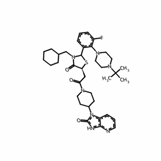 CC(C)(C)N1CCN(c2c(F)cccc2C2S[C@@H](CC(=O)N3CCC(n4c(=O)[nH]c5ncccc54)CC3)C(=O)N2CC2CCCCC2)CC1